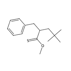 COC(=S)C(Cc1ccccc1)CC(C)(C)C